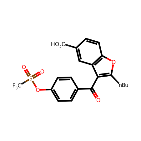 CCCCc1oc2ccc(C(=O)O)cc2c1C(=O)c1ccc(OS(=O)(=O)C(F)(F)F)cc1